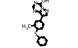 Cc1cc(-c2cnn3c(O)ncnc23)ccc1Sc1ccccc1